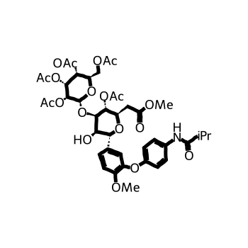 COC(=O)C[C@H]1O[C@H](c2ccc(OC)c(Oc3ccc(NC(=O)C(C)C)cc3)c2)[C@@H](O)[C@@H](O[C@H]2O[C@H](COC(C)=O)[C@@H](OC(C)=O)[C@@H](OC(C)=O)[C@H]2OC(C)=O)[C@@H]1OC(C)=O